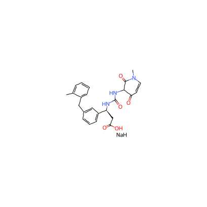 Cc1ccccc1Cc1cccc([C@H](CC(=O)O)NC(=O)NC2C(=O)C=CN(C)C2=O)c1.[NaH]